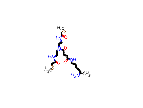 CSCC(=O)NCCN(CCNC(=O)CSC)C(=O)CCC(=O)NCCCC[C@@H](C)N